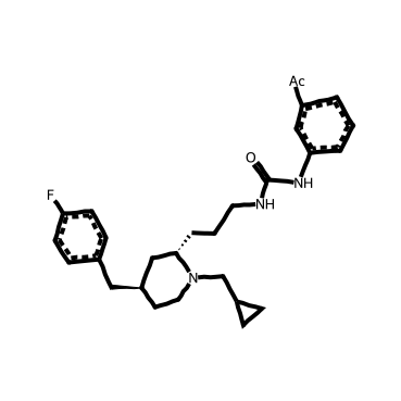 CC(=O)c1cccc(NC(=O)NCCC[C@H]2C[C@H](Cc3ccc(F)cc3)CCN2CC2CC2)c1